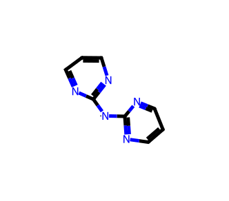 c1cnc([N]c2ncccn2)nc1